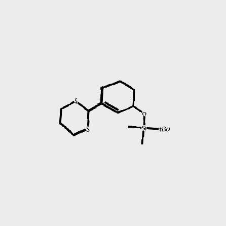 CC(C)(C)[Si](C)(C)OC1C=C(C2SCCCS2)CCC1